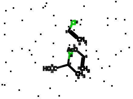 C=CCl.C=COC(C)=O.CC(Cl)C(=O)O